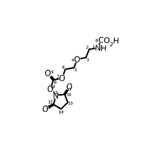 O=C(O)NCCOCCOC(=O)ON1C(=O)CCC1=O